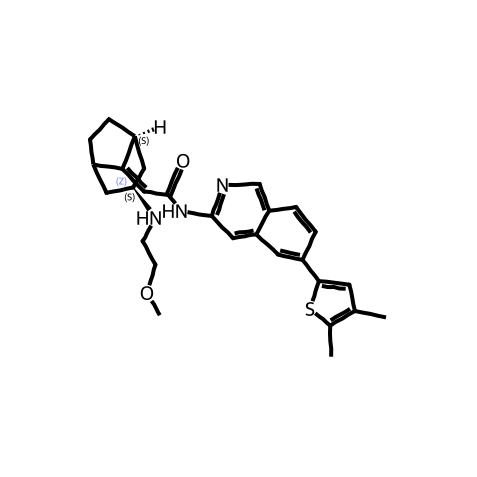 COCCN[C@H]1CC2CC[C@@H](C1)/C2=C\C(=O)Nc1cc2cc(-c3cc(C)c(C)s3)ccc2cn1